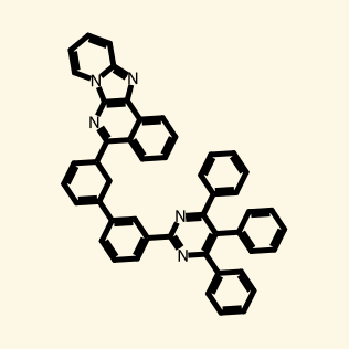 C1=CC(c2nc3c(nc4ccccn43)c3ccccc23)CC(c2cccc(-c3nc(-c4ccccc4)c(-c4ccccc4)c(-c4ccccc4)n3)c2)=C1